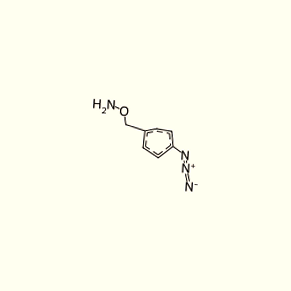 [N-]=[N+]=Nc1ccc(CON)cc1